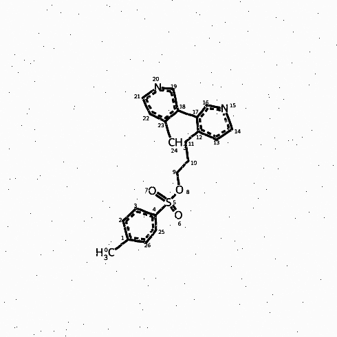 Cc1ccc(S(=O)(=O)OCCCc2ccncc2-c2cnccc2C)cc1